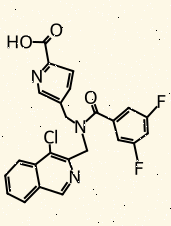 O=C(O)c1ccc(CN(Cc2ncc3ccccc3c2Cl)C(=O)c2cc(F)cc(F)c2)cn1